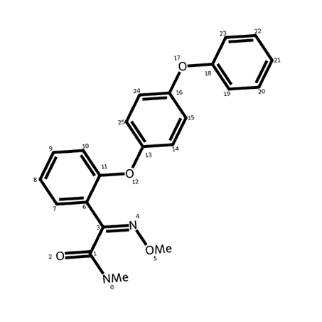 CNC(=O)C(=NOC)c1ccccc1Oc1ccc(Oc2ccccc2)cc1